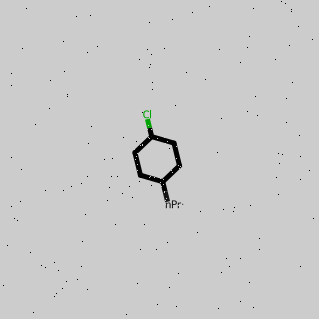 CC[CH]C1CCC(Cl)CC1